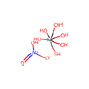 O=[N+]([O-])O.[OH][Ni]([OH])([OH])([OH])([OH])[OH]